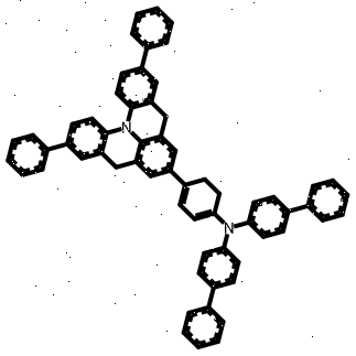 C1=C(c2cc3c4c(c2)Cc2cc(-c5ccccc5)ccc2N4c2ccc(-c4ccccc4)cc2C3)CCC(N(c2ccc(-c3ccccc3)cc2)c2ccc(-c3ccccc3)cc2)=C1